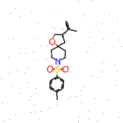 C=C(C)C1COC2(CCN(S(=O)(=O)c3ccc(C)cc3)CC2)C1